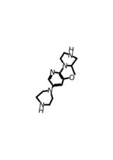 c1nc2c(cc1N1CCNCC1)OCC1CNCCN21